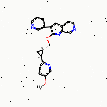 COc1ccc([C@H]2C[C@@H]2COc2nc3cnccc3cc2-c2cccnc2)nc1